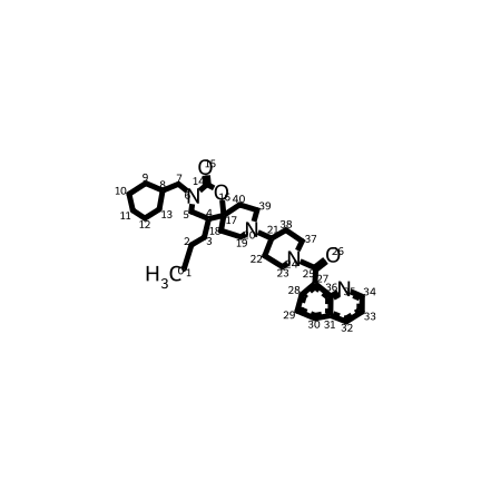 CCCCC1CN(CC2CCCCC2)C(=O)OC12CCN(C1CCN(C(=O)c3cccc4cccnc34)CC1)CC2